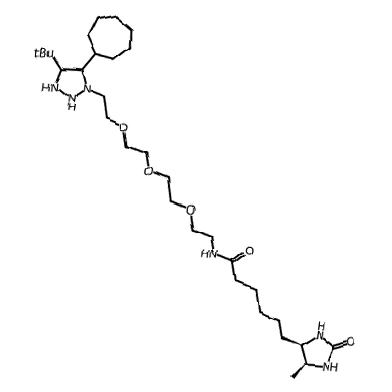 C[C@@H]1NC(=O)N[C@@H]1CCCCCC(=O)NCCOCCOCCOCCN1NNC(C(C)(C)C)C1C1CCCCCC1